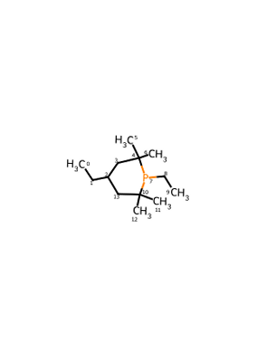 CCC1CC(C)(C)P(CC)C(C)(C)C1